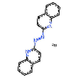 [Ru].c1ccc2nc(N=Nc3ccc4ccccc4n3)ccc2c1